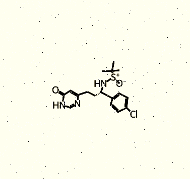 CC(C)(C)[S@@+]([O-])N[C@@H](CCc1cc(=O)[nH]cn1)c1ccc(Cl)cc1